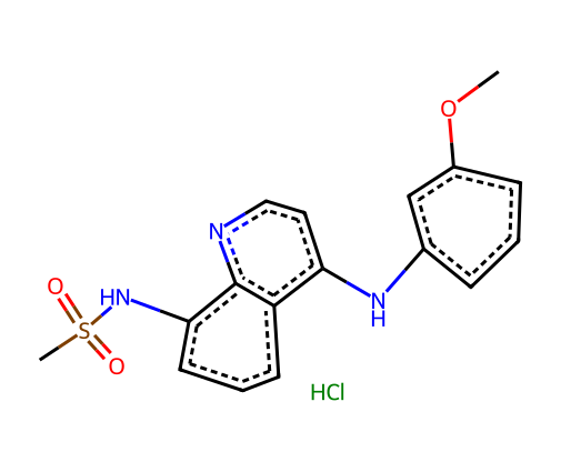 COc1cccc(Nc2ccnc3c(NS(C)(=O)=O)cccc23)c1.Cl